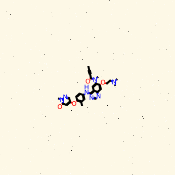 CC#CC(=O)N(C)c1cc2c(Nc3ccc(Oc4cnn(C)c(=O)c4)c(C)c3)ncnc2cc1OCCN(C)C